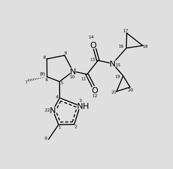 Cc1c[nH]c(C2[C@H](C)CCN2C(=O)C(=O)N(C2CC2)C2CC2)n1